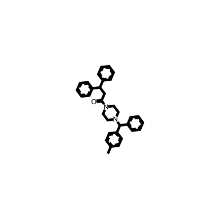 Cc1ccc(C(c2ccccc2)N2CCN(C(=O)CC(c3ccccc3)c3ccccc3)CC2)cc1